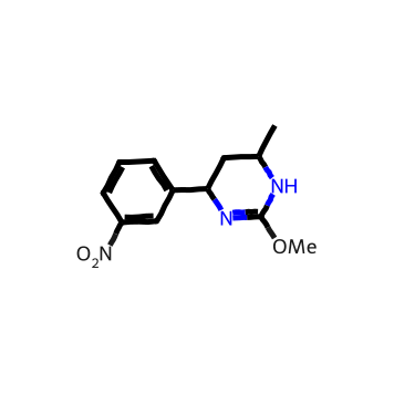 COC1=NC(c2cccc([N+](=O)[O-])c2)CC(C)N1